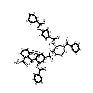 O=C(N[C@@H]1CN(C(=O)c2ccccc2)CCC[C@H]1OC(=O)c1cc(O)c(C(=O)c2c(O)cccc2C(=O)O)c(OC(=O)c2ccccc2)c1)c1ccc(OC(=O)c2ccccc2)cc1